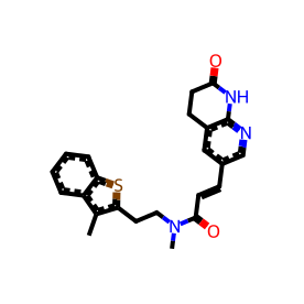 Cc1c(CCN(C)C(=O)C=Cc2cnc3c(c2)CCC(=O)N3)sc2ccccc12